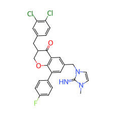 Cn1ccn(Cc2cc3c(c(-c4ccc(F)cc4)c2)OCC(Cc2ccc(Cl)c(Cl)c2)C3=O)c1=N